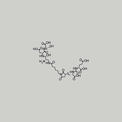 N[C@@H](CNC(=O)CCCCCN1C(=O)CC(SC[C@H](NC(=O)N[C@@H](CCC(=O)O)C(=O)O)C(=O)O)C1=O)C(O)N[C@@H](CC(=O)O)C(=O)N[C@@H](CS)C(=O)O